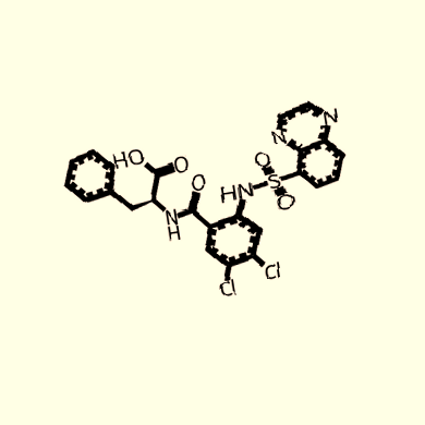 O=C(N[C@@H](Cc1ccccc1)C(=O)O)c1cc(Cl)c(Cl)cc1NS(=O)(=O)c1cccc2nccnc12